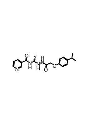 CC(C)c1ccc(OCC(=O)NNC(=S)NC(=O)c2cccnc2)cc1